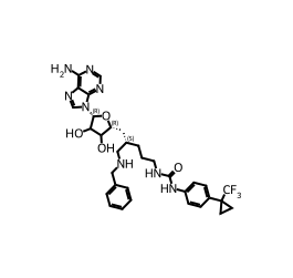 Nc1ncnc2c1ncn2[C@@H]1O[C@H](C[C@H](CCCNC(=O)Nc2ccc(C3(C(F)(F)F)CC3)cc2)CNCc2ccccc2)C(O)C1O